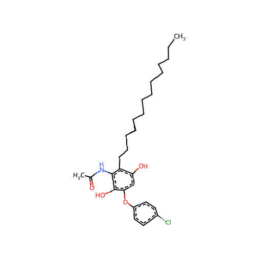 CCCCCCCCCCCCCCc1c(O)cc(Oc2ccc(Cl)cc2)c(O)c1NC(C)=O